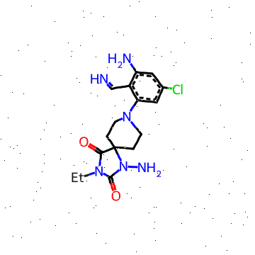 CCN1C(=O)N(N)C2(CCN(c3cc(Cl)cc(N)c3C=N)CC2)C1=O